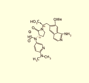 COc1cc2c(N)nccc2cc1C[C@H](C(=O)O)N1CC[C@H](N(c2ccc(N(C)C)nc2)[SH](=O)=O)C1=O